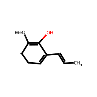 CC=CC1=CC[CH]C(OC)=C1O